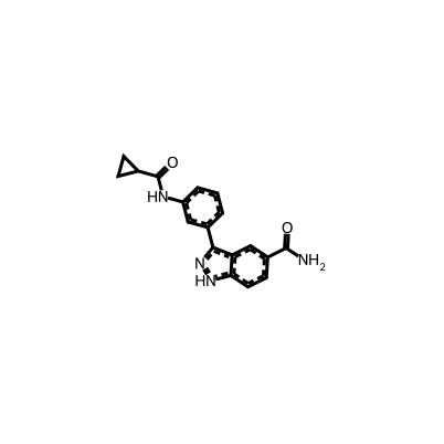 NC(=O)c1ccc2[nH]nc(-c3cccc(NC(=O)C4CC4)c3)c2c1